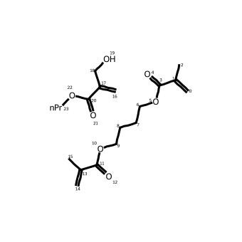 C=C(C)C(=O)OCCCCOC(=O)C(=C)C.C=C(CO)C(=O)OCCC